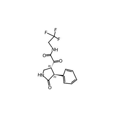 O=C(NCC(F)(F)F)C(=O)[C@H]1CNC(=O)[C@@H]1c1ccccc1